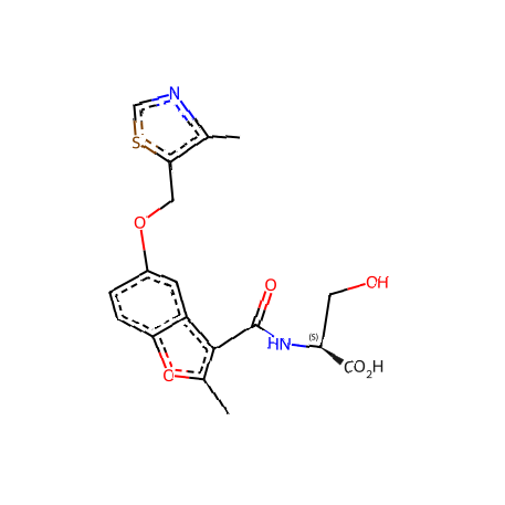 Cc1ncsc1COc1ccc2oc(C)c(C(=O)N[C@@H](CO)C(=O)O)c2c1